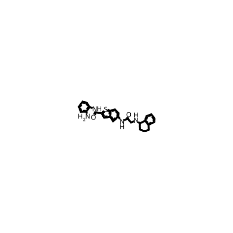 Nc1ccccc1NC(=O)c1cc2cc(NC(=O)CNC3CCCc4ccccc43)ccc2s1